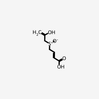 C=C(O)C[S+]([O-])CC=CC(=O)O